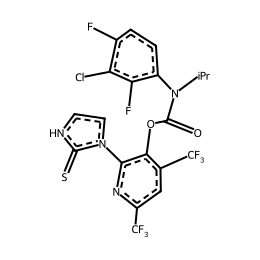 CC(C)N(C(=O)Oc1c(C(F)(F)F)cc(C(F)(F)F)nc1-n1cc[nH]c1=S)c1ccc(F)c(Cl)c1F